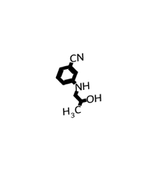 CC(O)CNc1cccc(C#N)c1